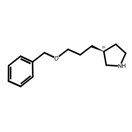 c1ccc(COCCC[C@H]2CCNC2)cc1